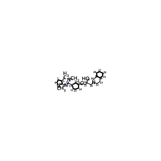 C=N/C(=N\c1c(C)ccn1C)c1cccc(OCC(O)CN2CCc3ccccc3C2)c1